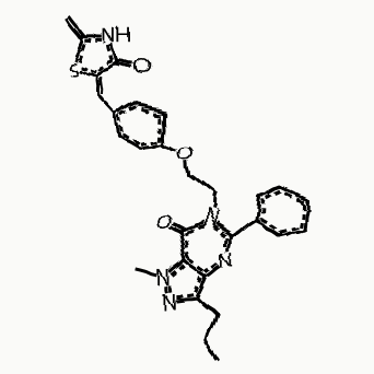 C=c1[nH]c(=O)/c(=C\c2ccc(OCCn3c(-c4ccccc4)nc4c(CCC)nn(C)c4c3=O)cc2)s1